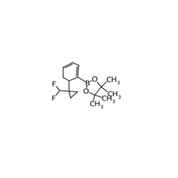 CC1(C)OB(C2=CC=CCC2C2(C(F)F)CC2)OC1(C)C